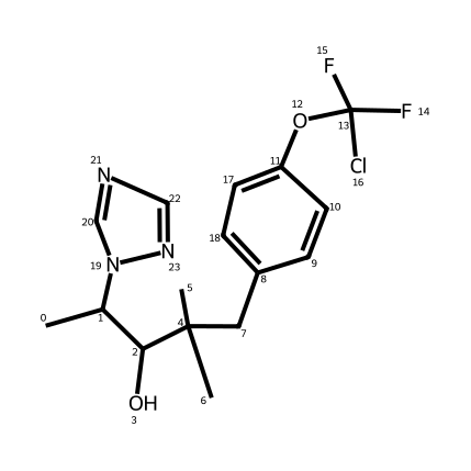 CC(C(O)C(C)(C)Cc1ccc(OC(F)(F)Cl)cc1)n1cncn1